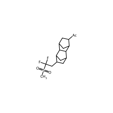 CC(=O)C1CC2CC1C1C3CC(CC(F)(F)S(C)(=O)=O)C(C3)C21